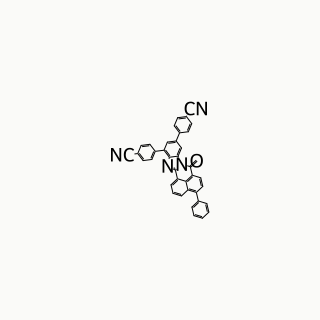 N#Cc1ccc(-c2cc(-c3ccc(C#N)cc3)c3nc4c5cccc6c(-c7ccccc7)ccc(c(=O)n4c3c2)c65)cc1